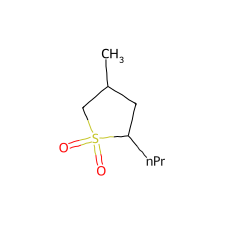 CCCC1CC(C)CS1(=O)=O